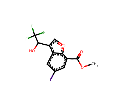 COC(=O)c1cc(I)cc2c(C(O)C(F)(F)F)coc12